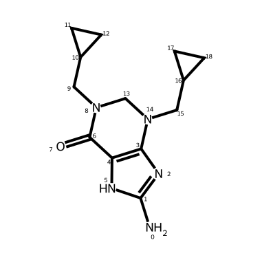 Nc1nc2c([nH]1)C(=O)N(CC1CC1)CN2CC1CC1